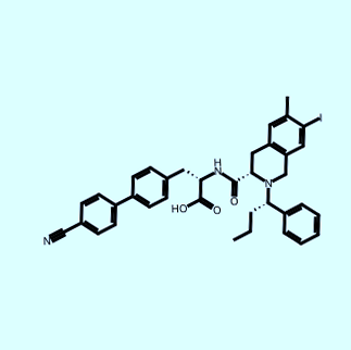 CCC[C@@H](c1ccccc1)N1Cc2cc(I)c(C)cc2C[C@H]1C(=O)N[C@@H](Cc1ccc(-c2ccc(C#N)cc2)cc1)C(=O)O